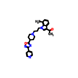 Bc1cccc2c(C(C)=O)cn(CCCN3CCC(c4nc(-c5ccncc5)no4)CC3)c12